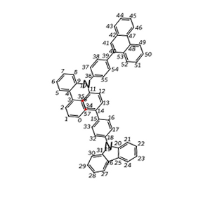 c1ccc(-c2ccccc2N(c2ccc(-c3ccc(-n4c5ccccc5c5ccccc54)cc3)cc2)c2ccc(-c3cc4ccccc4c4ccccc34)cc2)cc1